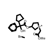 CBr.COC(=O)C[N+]1(C)CCC(OC(=O)C(O)(c2ccccc2)C2CCCC2)C1